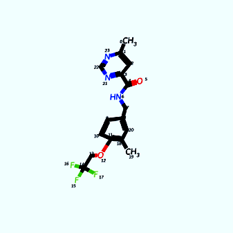 Cc1cc(C(=O)NCc2ccc(OCC(F)(F)F)c(C)c2)ncn1